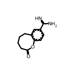 N=C(N)c1ccc2c(c1)CCCCC(=O)O2